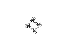 c1ccc(N(c2ccc(-c3ccc(N(c4ccc(Cc5ccc(N(c6ccc(-c7ccc(N(c8ccccc8)c8cccc9ccccc89)cc7)cc6)c6cccc7ccccc67)cc5)cc4)c4cccc5ccccc45)cc3)cc2)c2cccc3ccccc23)cc1